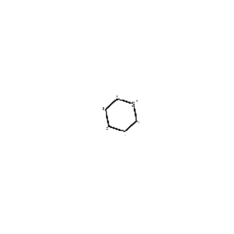 [C]1CCC[CH]S1